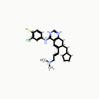 CN(C)C/C=C/C1=Cc2c(ncnc2Nc2ccc(F)c(Cl)c2)CC1CC1CCCC1